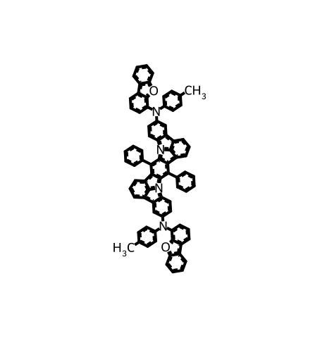 Cc1ccc(N(c2ccc3c(c2)c2cccc4c5c(-c6ccccc6)c6c(c(-c7ccccc7)c5n3c24)c2cccc3c4cc(N(c5ccc(C)cc5)c5cccc7c5oc5ccccc57)ccc4n6c32)c2cccc3c2oc2ccccc23)cc1